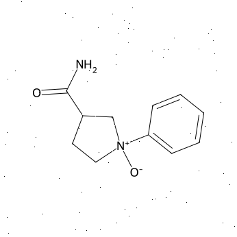 NC(=O)C1CC[N+]([O-])(c2ccccc2)C1